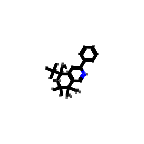 BC1(B)c2cnc(-c3ccccc3)cc2C(B)(C(C)(C)C)BC1(C)C